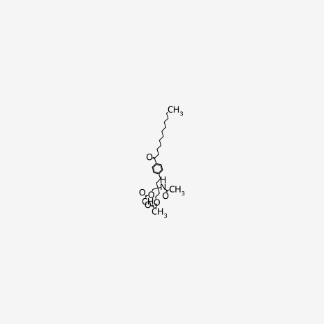 CCCCCCCCCCCC(=O)c1ccc(CCC(CCOC(C)=O)(COC(C)=O)NC(C)=O)cc1